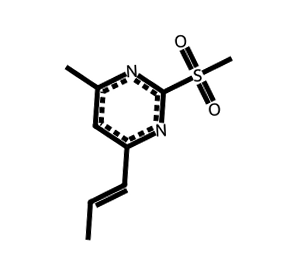 CC=Cc1cc(C)nc(S(C)(=O)=O)n1